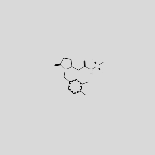 CS(=O)(=O)NC(=O)CC1CCC(=O)N1Cc1ccc(F)c(F)c1